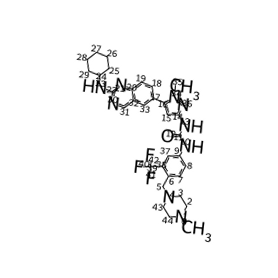 CN1CCN(Cc2ccc(NC(=O)Nc3cc(-c4ccc5nc(NC6CCCCC6)ncc5c4)n(C)n3)cc2C(F)(F)F)CC1